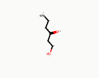 CCCCCCC(=O)CCO